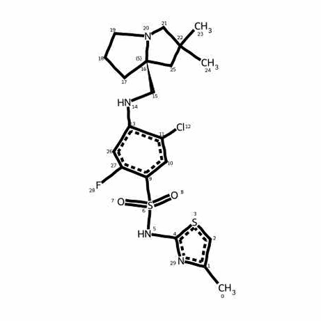 Cc1csc(NS(=O)(=O)c2cc(Cl)c(NC[C@@]34CCCN3CC(C)(C)C4)cc2F)n1